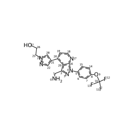 NCc1nn(-c2ccc(OC(F)(F)F)cc2)c2nccc(-c3cnn(CCO)c3)c12